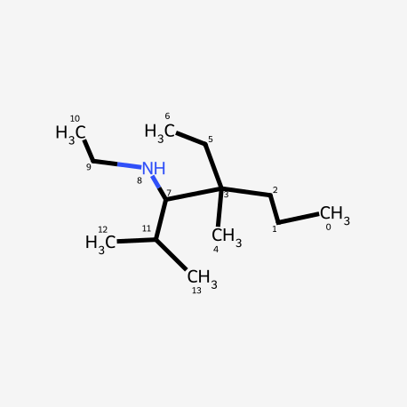 CCCC(C)(CC)C(NCC)C(C)C